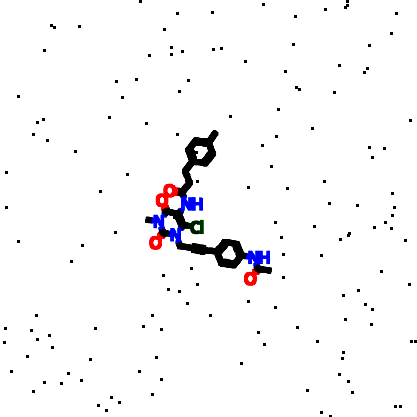 CC(=O)Nc1ccc(C#CCn2c(Cl)c(NC(=O)CCc3ccc(C)cc3)c(=O)n(C)c2=O)cc1